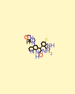 Nc1c(-c2ccc(F)c3[nH]ncc23)c2cc(N3CCN4CCOC[C@H]4C3)c3cccnc3c2[nH]c1=O